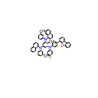 C=C/C(=C\C(=C/CN(c1ccccc1)c1ccc(-c2cccc3c2oc2ccccc23)cc1)N(c1cccc(C)c1)c1cccc2ccccc12)N(c1cccc(C)c1)c1cccc2ccccc12